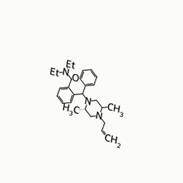 C=CCN1C[C@H](C)N(C(c2ccccc2)c2ccccc2C(=O)N(CC)CC)CC1C